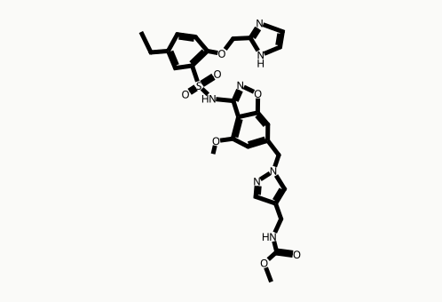 CCc1ccc(OCc2ncc[nH]2)c(S(=O)(=O)Nc2noc3cc(Cn4cc(CNC(=O)OC)cn4)cc(OC)c23)c1